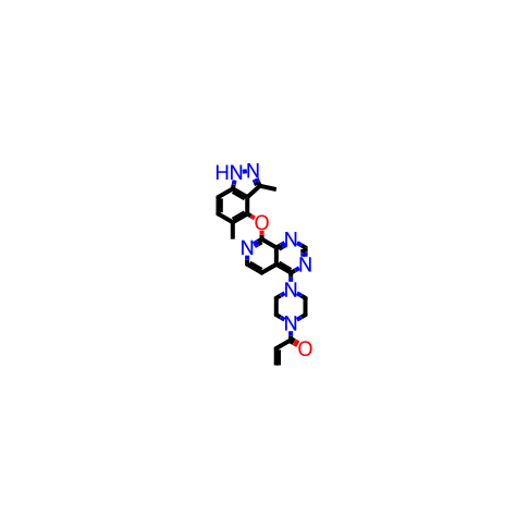 C=CC(=O)N1CCN(c2ncnc3c(Oc4c(C)ccc5[nH]nc(C)c45)nccc23)CC1